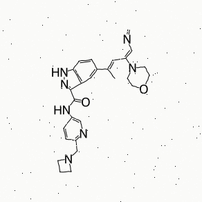 C=N/C=C(\C=C(/C)c1ccc2[nH]nc(C(=O)Nc3ccc(CN4CCC4)nc3)c2c1)N1CCOCC1